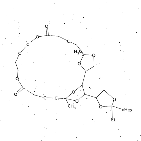 CCCCCCC1(CC)OCC(C2OC3(C)CCCC(=O)OCCCCOC(=O)CCCC4(C)OCC(O4)C2O3)O1